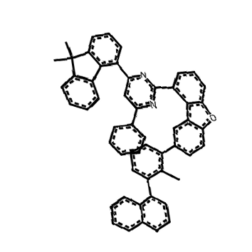 Cc1c(-c2ccc3oc4cccc(-c5nc(-c6ccccc6)cc(-c6cccc7c6-c6ccccc6C7(C)C)n5)c4c3c2)cccc1-c1cccc2ccccc12